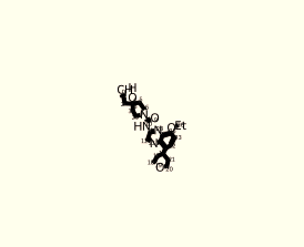 C#CCC1(O)CCN(C(=O)Nc2cnc3c(C4CCOCC4)ccc(OCC)c3n2)CC1